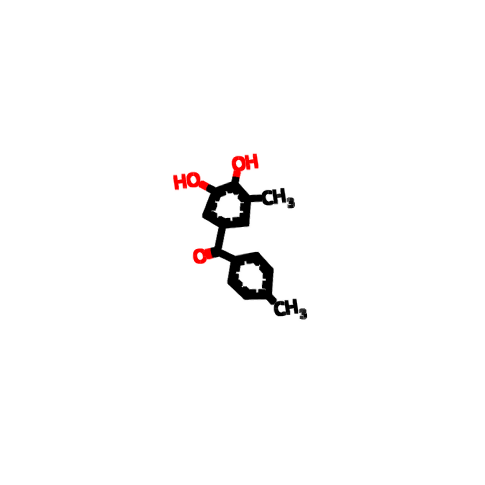 Cc1ccc(C(=O)c2cc(C)c(O)c(O)c2)cc1